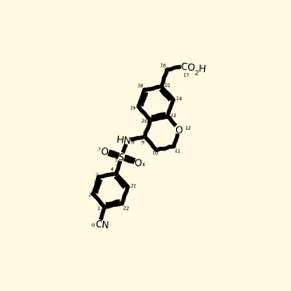 N#Cc1ccc(S(=O)(=O)NC2CCOc3cc(CC(=O)O)ccc32)cc1